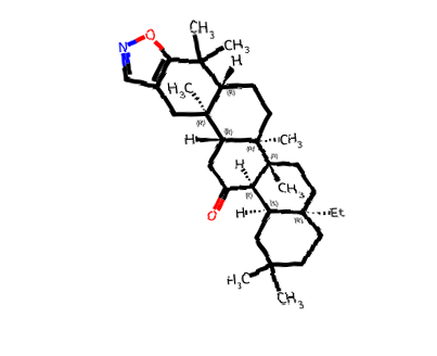 CC[C@]12CCC(C)(C)C[C@H]1[C@H]1C(=O)C[C@@H]3[C@@]4(C)Cc5cnoc5C(C)(C)[C@@H]4CC[C@@]3(C)[C@]1(C)CC2